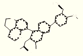 CNc1ccc(-c2ccc3c(-c4ccc5c6c(ccnc46)CCO5)c(CC(=O)O)c(C)cc3c2)cc1C=N